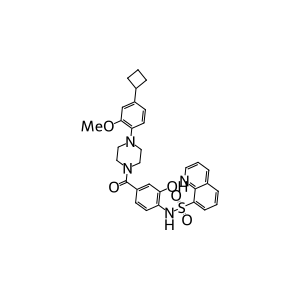 COc1cc(C2CCC2)ccc1N1CCN(C(=O)c2ccc(NS(=O)(=O)c3cccc4cccnc34)c(O)c2)CC1